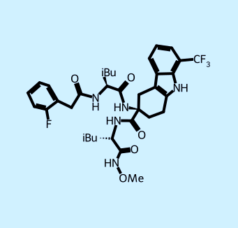 CCC(C)[C@H](NC(=O)Cc1ccccc1F)C(=O)N[C@]1(C(=O)NC(C(=O)NOC)[C@@H](C)CC)CCc2[nH]c3c(C(F)(F)F)cccc3c2C1